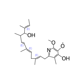 C/C=C(\C)C(O)C(C)/C=C/C(C)=C/C/C(C)=C/Cc1nc(OC)c(OC)c(O)c1C